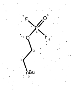 CCCCCCOP(=O)(F)F